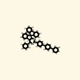 c1ccc(-c2ccc(-c3ccc(-c4nc(-c5ccccc5)c5c(n4)C4(c6ccccc6-c6ccccc64)c4ccccc4-5)cc3)cc2)cc1